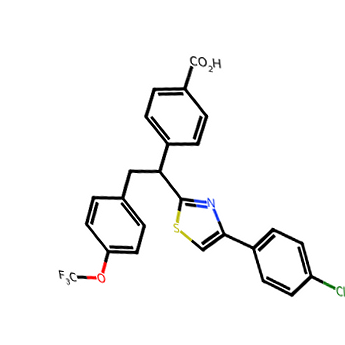 O=C(O)c1ccc(C(Cc2ccc(OC(F)(F)F)cc2)c2nc(-c3ccc(Cl)cc3)cs2)cc1